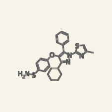 Cc1csc(-n2nc(C3CCCCC3)c(Oc3ccc(SN)cc3)c2-c2ccccc2)n1